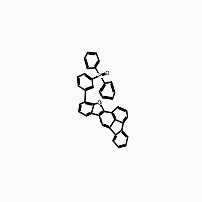 O=P(c1ccccc1)(c1ccccc1)c1cccc(-c2cccc3c2oc2c4cccc5c4c(cc32)-c2ccccc2-5)c1